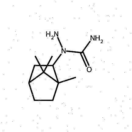 CC1(C)C2CCC1(C)C(N(N)C(N)=O)C2